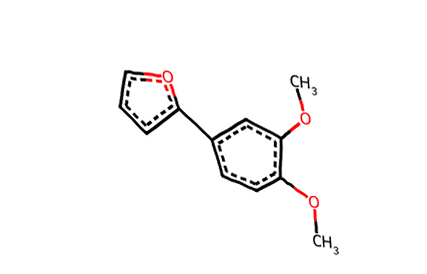 COc1ccc(-c2ccco2)cc1OC